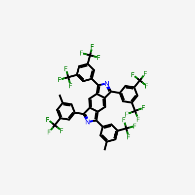 Cc1cc(C2=NC(c3cc(C)cc(C(F)(F)F)c3)=c3cc4c(cc32)=C(c2cc(C(F)(F)F)cc(C(F)(F)F)c2)N=C4c2cc(C(F)(F)F)cc(C(F)(F)F)c2)cc(C(F)(F)F)c1